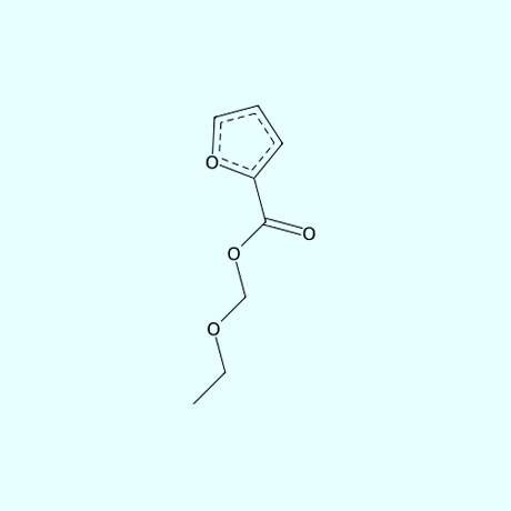 CCOCOC(=O)c1ccco1